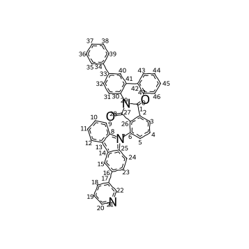 O=C1c2cccc(-n3c4ccccc4c4cc(-c5cccnc5)ccc43)c2C(=O)N1c1ccc(-c2ccccc2)cc1-c1ccccc1